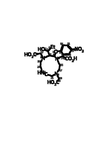 CCC(O)C1C(Oc2ccc([N+](=O)[O-])cc2)N(CC(=O)O)CCN(CC(=O)O)CCNCCN1CC(=O)O